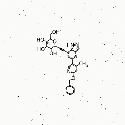 Cc1cc(OCc2ccccc2)ncc1-c1cc(C#CC2OC(CO)[C@@H](O)C(O)C2O)c2[nH]ncc2c1